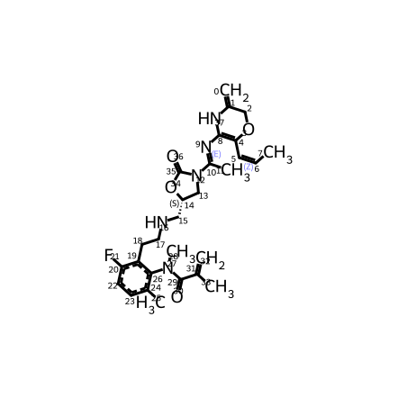 C=C1COC(/C=C\C)=C(/N=C(\C)N2C[C@H](CNCCc3c(F)ccc(C)c3N(C)C(=O)C(=C)C)OC2=O)N1